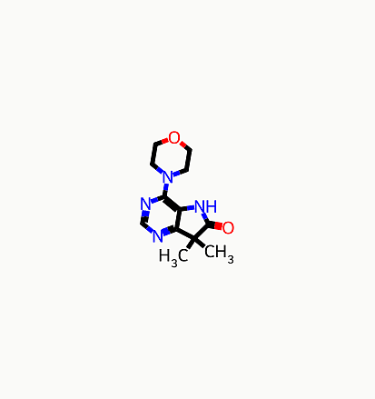 CC1(C)C(=O)Nc2c(N3CCOCC3)ncnc21